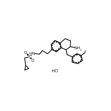 Cl.NC1CCc2ccc(CCCNS(=O)(=O)CC3CC3)cc2C1Cc1cccc(F)c1